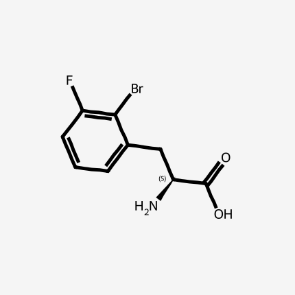 N[C@@H](Cc1cccc(F)c1Br)C(=O)O